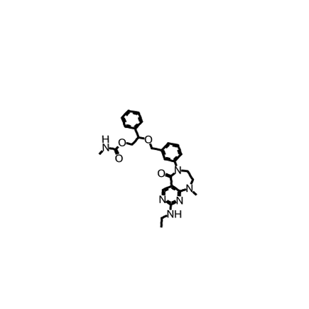 CCNc1ncc2c(n1)N(C)CCN(c1cccc(COC(COC(=O)NC)c3ccccc3)c1)C2=O